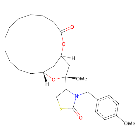 COc1ccc(CN2C(=O)SCC2[C@@]2(OC)C[C@H]3C[C@@H](CCCCCCCCCCC(=O)O3)O2)cc1